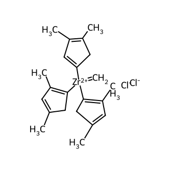 [CH2]=[Zr+2]([C]1=CC(C)=C(C)C1)([C]1=C(C)C=C(C)C1)[C]1=C(C)C=C(C)C1.[Cl-].[Cl-]